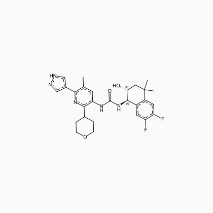 Cc1cc(NC(=O)N[C@@H]2c3cc(F)c(F)cc3C(C)(C)C[C@H]2O)c(C2CCOCC2)nc1-c1cn[nH]c1